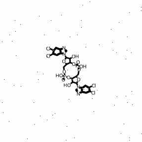 O=P1(O)OCC2OC(n3cnc4cc(Cl)c(Cl)cc43)C(O)C2OP(=O)(O)OCC2OC(n3cnc4cc(Cl)c(Cl)cc43)C(O)C2O1